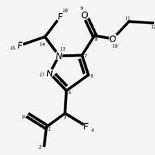 C=C(C)C(F)c1cc(C(=O)OCC)n(C(F)F)n1